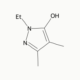 CCn1nc(C)c(C)c1O